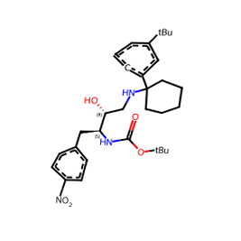 CC(C)(C)OC(=O)N[C@@H](Cc1ccc([N+](=O)[O-])cc1)[C@H](O)CNC1(c2cccc(C(C)(C)C)c2)CCCCC1